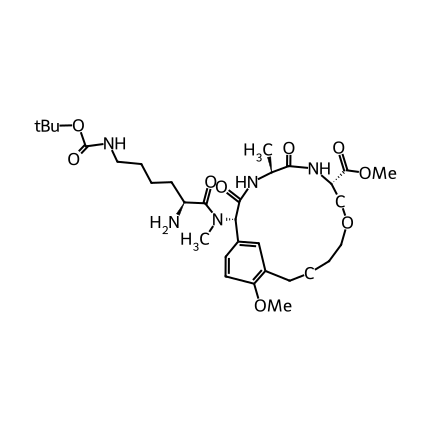 COC(=O)[C@@H]1COCCCCc2cc(ccc2OC)[C@H](N(C)C(=O)[C@@H](N)CCCCNC(=O)OC(C)(C)C)C(=O)N[C@@H](C)C(=O)N1